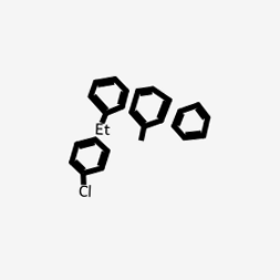 CCc1ccccc1.Cc1ccccc1.Clc1ccccc1.c1ccccc1